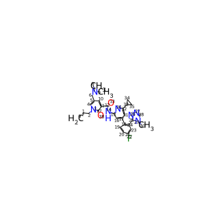 C=CCn1cc(CN(C)C)cc(C(=O)Nc2cc(-c3ccc(F)cc3-c3nncn3C)cc(C3CC3)n2)c1=O